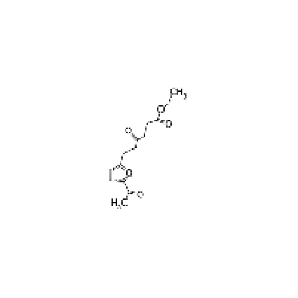 CCOC(=O)CCC(=O)CCc1ccc(C(C)=O)o1